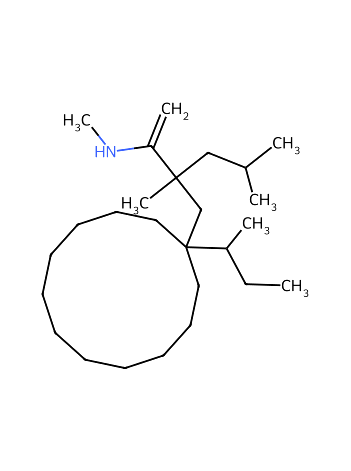 C=C(NC)C(C)(CC(C)C)CC1(C(C)CC)CCCCCCCCCCC1